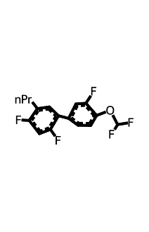 [CH2]CCc1cc(-c2ccc(OC(F)F)c(F)c2)c(F)cc1F